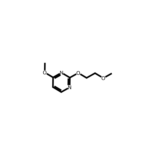 COCCOc1nccc(OC)n1